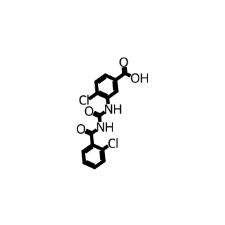 O=C(NC(=O)c1ccccc1Cl)Nc1cc(C(=O)O)ccc1Cl